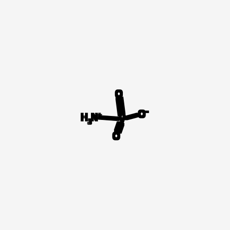 [NH3+][V](=[O])(=[O])[O-]